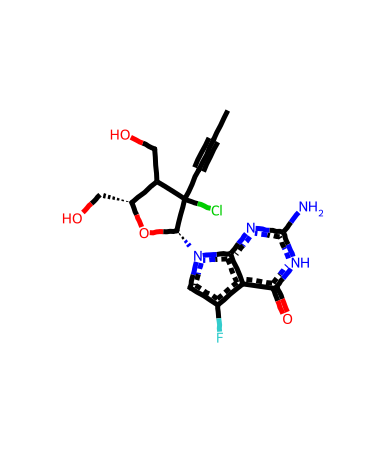 CC#CC1(Cl)C(CO)[C@@H](CO)O[C@H]1n1cc(F)c2c(=O)[nH]c(N)nc21